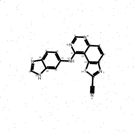 N#Cc1nc2ccc3ncnc(Nc4ccc5nc[nH]c5c4)c3c2s1